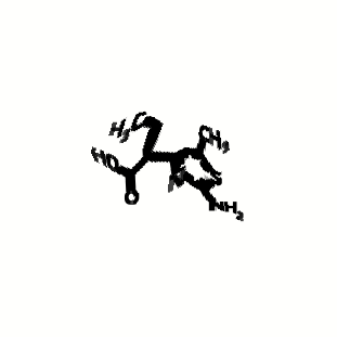 C/C=C(\C(=O)O)c1nc(N)sc1C